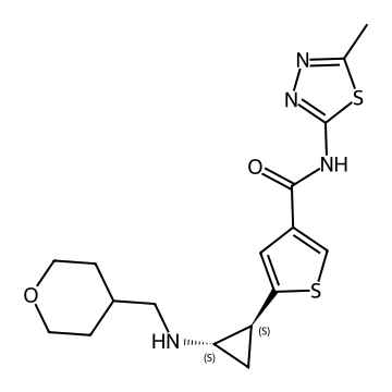 Cc1nnc(NC(=O)c2csc([C@H]3C[C@@H]3NCC3CCOCC3)c2)s1